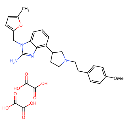 COc1ccc(CCN2CCC(c3cccc4c3nc(N)n4Cc3ccc(C)o3)C2)cc1.O=C(O)C(=O)O.O=C(O)C(=O)O